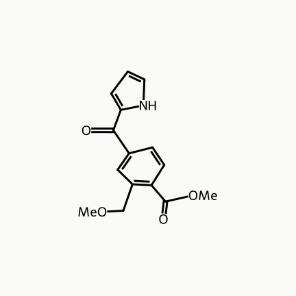 COCc1cc(C(=O)c2ccc[nH]2)ccc1C(=O)OC